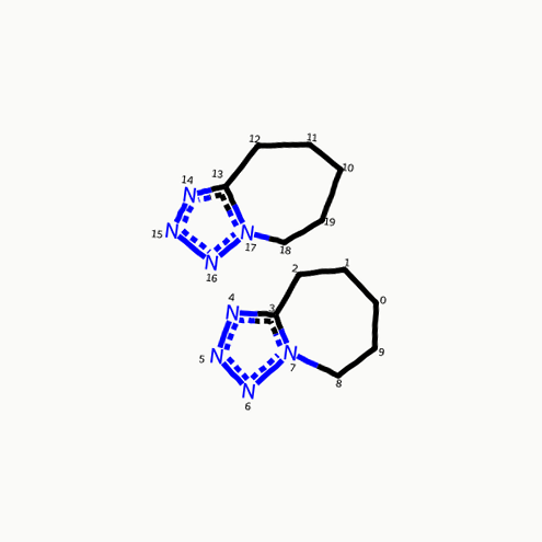 C1CCc2nnnn2CC1.C1CCc2nnnn2CC1